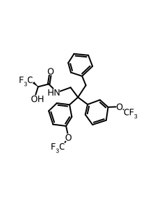 O=C(NCC(Cc1ccccc1)(c1cccc(OC(F)(F)F)c1)c1cccc(OC(F)(F)F)c1)[C@@H](O)C(F)(F)F